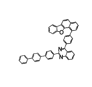 c1ccc(-c2ccc(-c3ccc(-c4nc(-c5ccc(-c6cccc7ccc8c9ccccc9oc8c67)cc5)c5ccccc5n4)cc3)cc2)cc1